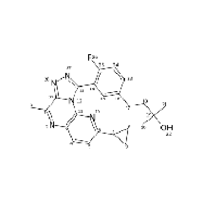 Cc1nc2ccc(C3CC3)nc2n2c(-c3cc(CCC(C)(C)O)ccc3F)nnc12